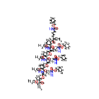 COc1ccc(CC(=O)[C@H](CCCCNC(=O)OCc2ccccc2)NC(=O)c2cc(CC(=O)[C@H](CCCCNC(=O)OCc3ccccc3)NC(=O)c3cc(CC(=O)[C@H](CCCCNC(=O)OCc4ccccc4)NC(=O)c4cc(CC(=O)[C@@H](C)CCCCNC(=O)OCc5ccccc5)ccc4OC)ccc3OC)ccc2OC)cc1C(C)=O